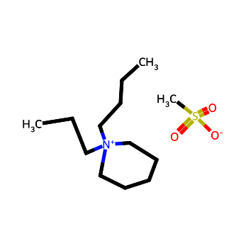 CCCC[N+]1(CCC)CCCCC1.CS(=O)(=O)[O-]